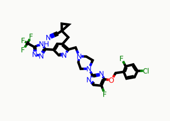 N#CC1(Cc2cc(-c3nnc(C(F)(F)F)[nH]3)cnc2CN2CCN(c3ncc(F)c(OCc4ccc(Cl)cc4F)n3)CC2)CC1